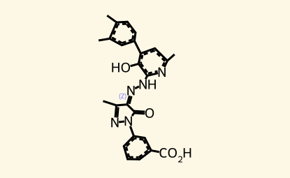 CC1=NN(c2cccc(C(=O)O)c2)C(=O)/C1=N\Nc1nc(C)cc(-c2ccc(C)c(C)c2)c1O